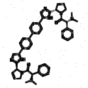 CN(C)[C@@H](C(=O)N1CC=C[C@H]1c1ncc(-c2ccc(-c3ccc(-c4cnc([C@@H]5C=CCN5C(=O)[C@@H](c5ccccc5)N(C)C)[nH]4)cc3)cc2)[nH]1)c1ccccc1